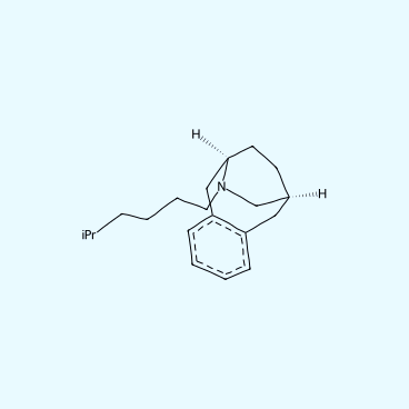 CC(C)CCCCN1C[C@H]2CC[C@@H]1Cc1ccccc1C2